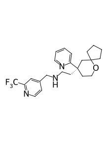 FC(F)(F)c1cc(CNCC[C@@]2(c3ccccn3)CCOC3(CCCC3)C2)ccn1